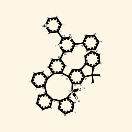 CC1(C)c2ccccc2-c2cc3c(cc21)S(=O)(=O)c1ccccc1-c1ccccc1-c1ccccc1-c1ccc(-c2cc(-c4ccccc4)nc(-c4cccnc4)n2)cc1-3